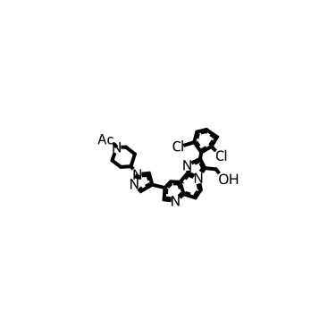 CC(=O)N1CCC(n2cc(-c3cnc4ccn5c(CO)c(-c6c(Cl)cccc6Cl)nc5c4c3)cn2)CC1